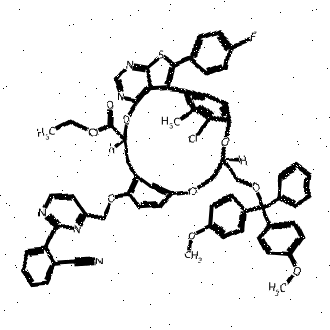 CCOC(=O)[C@H]1Cc2cc(ccc2OCc2ccnc(-c3ccccc3C#N)n2)OC[C@@H](COC(c2ccccc2)(c2ccc(OC)cc2)c2ccc(OC)cc2)Oc2ccc(c(C)c2Cl)-c2c(-c3ccc(F)cc3)sc3ncnc(c23)O1